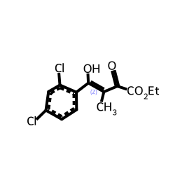 CCOC(=O)C(=O)/C(C)=C(\O)c1ccc(Cl)cc1Cl